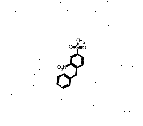 CS(=O)(=O)c1ccc(Cc2ccccc2)c([N+](=O)[O-])c1